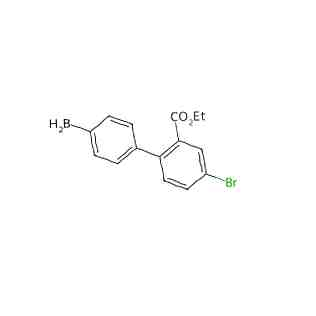 Bc1ccc(-c2ccc(Br)cc2C(=O)OCC)cc1